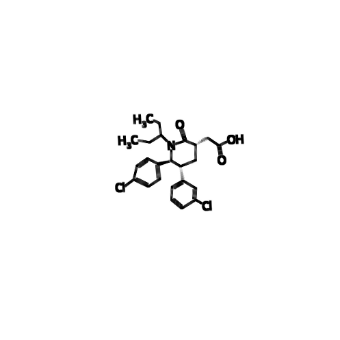 CCC(CC)N1C(=O)[C@H](CC(=O)O)C[C@H](c2cccc(Cl)c2)[C@H]1c1ccc(Cl)cc1